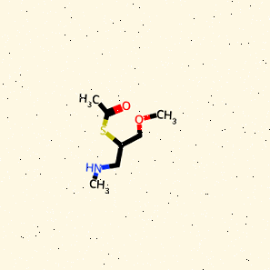 CNCC(COC)SC(C)=O